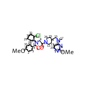 COc1ccc(C(=O)N(CC(=O)N2CCC(CN(C)c3ccnc(OC)n3)CC2)c2ccccc2Cl)cc1